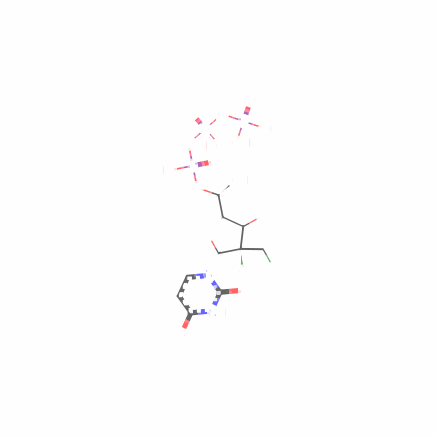 C[C@H](OP(=O)(O)OP(=O)(O)OP(=O)(O)O)[C@H]1O[C@@H](n2ccc(=O)[nH]c2=O)[C@@](Cl)(CF)C1O